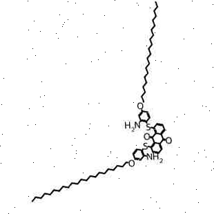 CCCCCCCCCCCCCCCCCCCCCCOc1ccc(Sc2cccc3c2C(=O)c2c(Sc4ccc(OCCCCCCCCCCCCCCCCCCCCCC)cc4N)cccc2C3=O)c(N)c1